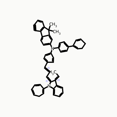 C\C=c1/c(=C\C=C\c2ccc(N(c3ccc(C4=CCCC=C4)cc3)c3ccc4c(c3)C(C)(C)c3ccc#cc3-4)cc2)n(C2=CCC=CC=C2)c2ccccc12